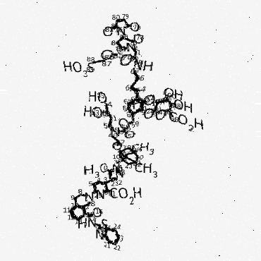 Cc1c(-c2ccc(N3CCc4cccc(C(=O)Nc5nc6ccccc6s5)c4C3)nc2C(=O)O)cnn1CC12CC3(C)CC(C)(C1)CC(OCCN(CC[C@H](O)CO)C(=O)OCc1ccc(CCCCNC(=O)CN4C(=O)[C@@H](N5C(=O)C=CC5=O)C[C@H]4COCCS(=O)(=O)O)cc1O[C@@H]1O[C@H](C(=O)O)[C@@H](O)[C@H](O)[C@H]1O)(C3)C2